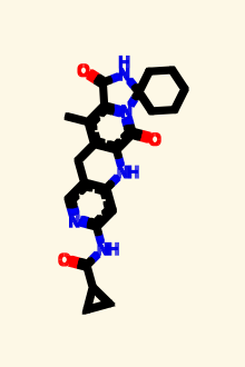 Cc1c2c(c(=O)n3c1C(=O)NC31CCCCC1)Nc1cc(NC(=O)C3CC3)ncc1C2